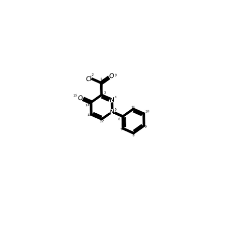 O=C(Cl)c1nn(-c2ccccc2)ccc1=O